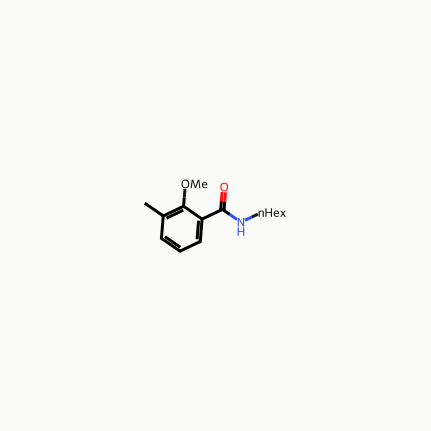 CCCCCCNC(=O)c1cccc(C)c1OC